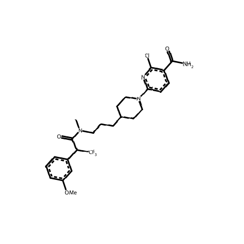 COc1cccc(C(C(=O)N(C)CCCC2CCN(c3ccc(C(N)=O)c(Cl)n3)CC2)C(F)(F)F)c1